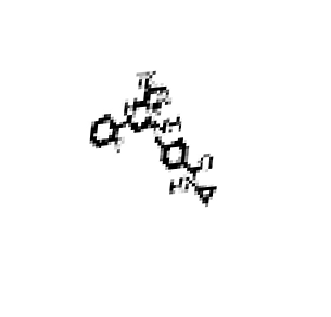 O=C(NC1CC1)c1ccc(CNc2cc(-c3ccccc3F)nc3c(Br)cnn23)cc1